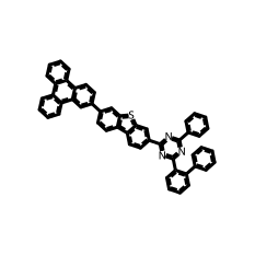 c1ccc(-c2nc(-c3ccc4c(c3)sc3cc(-c5ccc6c7ccccc7c7ccccc7c6c5)ccc34)nc(-c3ccccc3-c3ccccc3)n2)cc1